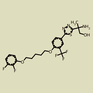 CC(N)(CO)c1nnc(-c2ccc(OCCCCCOc3cccc(F)c3F)c(C(F)(F)F)c2)s1